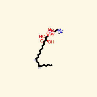 CCCCC/C=C\C/C=C\CCCCCCCC(=O)C(O)[C@@H](O)COP(=O)([O-])OCC[N+](C)(C)C